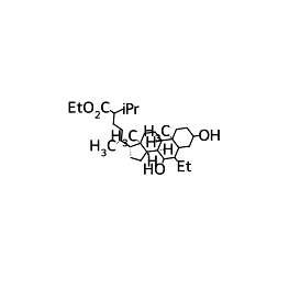 CCOC(=O)C(CC[C@@H](C)[C@H]1CC[C@H]2[C@@H]3C(O)C(CC)C4CC(O)CC[C@]4(C)[C@H]3CC[C@]12C)C(C)C